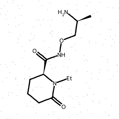 CCN1C(=O)CCC[C@H]1C(=O)NOC[C@H](C)N